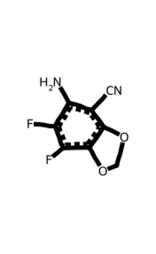 N#Cc1c(N)c(F)c(F)c2c1OCO2